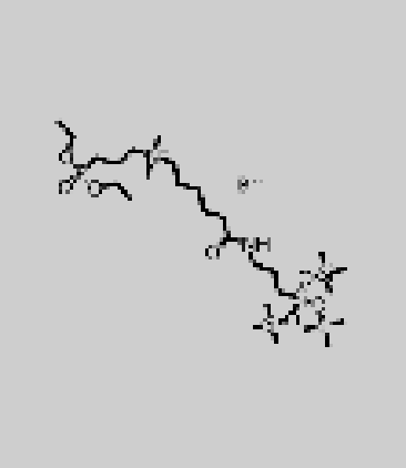 CCOP(=O)(CCC[N+](C)(C)CCCCCC(=O)NCCC[Si](O[Si](C)(C)C)(O[Si](C)(C)C)O[Si](C)(C)C)OCC.[Br-]